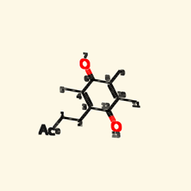 CC(=O)CCC1=C(C)C(=O)C(C)=C(C)C1=O